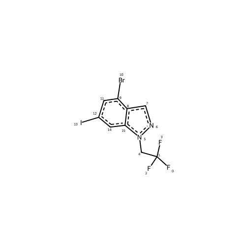 FC(F)(F)Cn1ncc2c(Br)cc(I)cc21